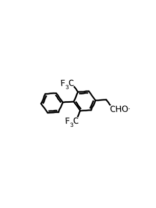 O=[C]Cc1cc(C(F)(F)F)c(-c2ccccc2)c(C(F)(F)F)c1